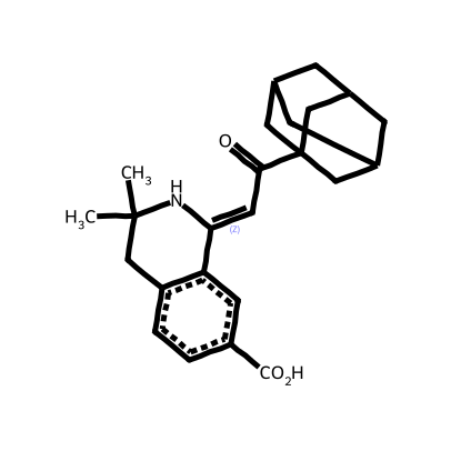 CC1(C)Cc2ccc(C(=O)O)cc2/C(=C/C(=O)C23CC4CC(CC(C4)C2)C3)N1